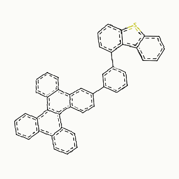 c1cc(-c2ccc3c(c2)c2ccccc2c2c4ccccc4c4ccccc4c32)cc(-c2cccc3sc4ccccc4c23)c1